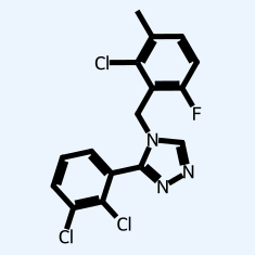 Cc1ccc(F)c(Cn2cnnc2-c2cccc(Cl)c2Cl)c1Cl